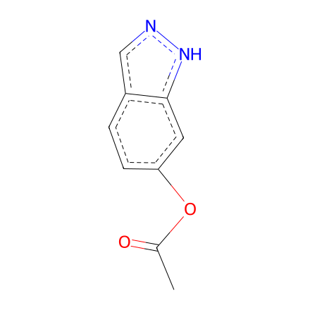 CC(=O)Oc1ccc2cn[nH]c2c1